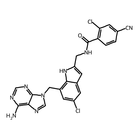 N#Cc1ccc(C(=O)NCc2cc3cc(Cl)cc(Cn4cnc5c(N)ncnc54)c3[nH]2)c(Cl)c1